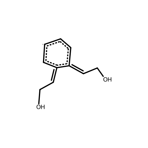 OCC=c1c[c]ccc1=CCO